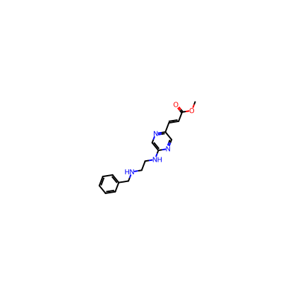 COC(=O)/C=C/c1cnc(NCCNCc2ccccc2)cn1